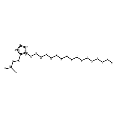 CCCCCCCCCCCCCCCCC[n+]1cc[nH]c1CCC(C)C